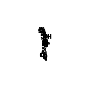 CCOC(=O)CCCCCCN(CCCC(O)CSc1ccccc1)S(C)(=O)=O